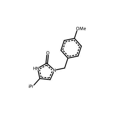 COc1ccc(Cn2cc(C(C)C)[nH]c2=O)cc1